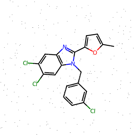 Cc1ccc(-c2nc3cc(Cl)c(Cl)cc3n2Cc2cccc(Cl)c2)o1